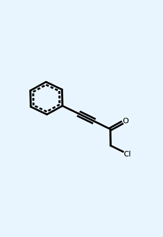 O=C(C#Cc1ccccc1)CCl